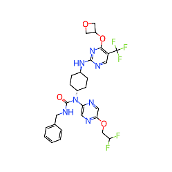 O=C(NCc1ccccc1)N(c1cnc(OCC(F)F)cn1)[C@H]1CC[C@H](Nc2ncc(C(F)(F)F)c(OC3COC3)n2)CC1